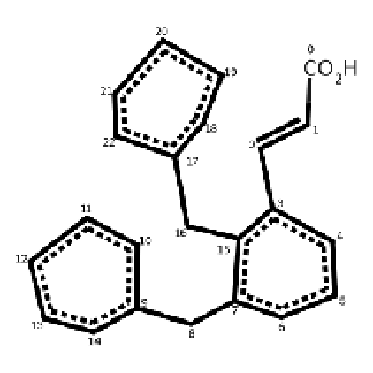 O=C(O)/C=C/c1cccc(Cc2ccccc2)c1Cc1ccccc1